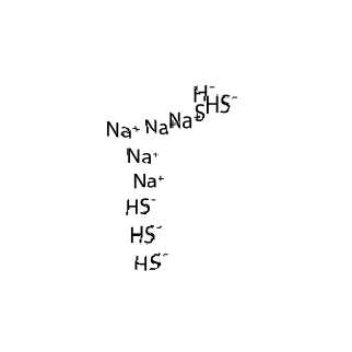 [Na+].[Na+].[Na+].[Na+].[Na+].[SH-].[SH-].[SH-].[SH-].[SH-]